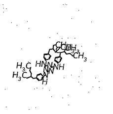 CCCCC(CC)Cc1ccc(Nc2nc(Nc3ccc(CC(CC)CCCC)cc3)nc(Nc3ccc(CC(CC)CCCC)cc3)n2)cc1